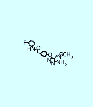 CO/N=C/c1c(N)ncnc1Oc1ccc(CC(=O)Nc2cccc(F)c2)cc1